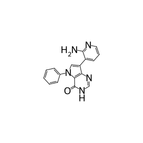 Nc1ncccc1-c1cn(-c2ccccc2)c2c(=O)[nH]cnc12